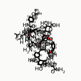 CN[C@H](CC(C)C)C(=O)N[C@H]1C(=O)N[C@@H](CC(N)=O)C(=O)N[C@H]2C(=O)N[C@H]3C(=O)N[C@H](C(=O)N[C@@H](C(=O)NNC(=O)C(N)=O)c4cc(O)cc(O)c4-c4cc3ccc4O)[C@H](O)c3ccc(c(Cl)c3)Oc3cc2cc(c3O[C@@H]2O[C@H](CO)[C@@H](O)[C@H](O)[C@H]2O[C@H]2C[C@](C)(NCCN3CCN(NC(=O)Nc4ccc(OC(F)(F)F)cc4)CC3)[C@H](O)[C@H](C)O2)Oc2ccc(cc2Cl)[C@H]1O